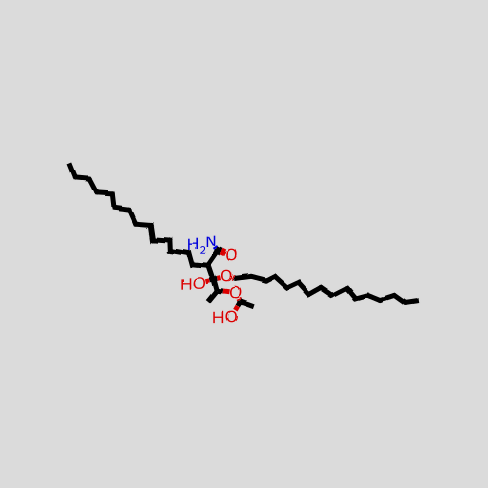 CCCCCCCCCCCCCCCCOC(O)(C(C)OC(C)O)C(CCCCCCCCCCCCCC)C(N)=O